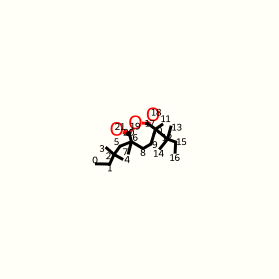 CCC(C)(C)CC1(C)CCC(C)(C(C)(C)CC)C(=O)OC1=O